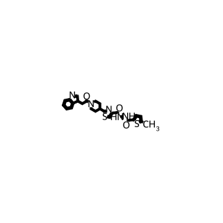 Cc1ccc(C(=O)NNC(=O)c2csc(C3CCN(C(=O)CC4C=Nc5ccccc54)CC3)n2)s1